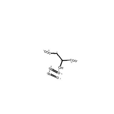 O=C([O-])CC(O)C(=O)[O-].[O]=[Sb+].[O]=[Sb+]